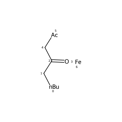 CCCCCC(=O)CC(C)=O.[Fe]